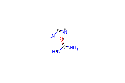 N=CN.NC(N)=O